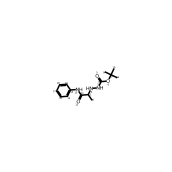 CC(NNC(=O)OC(C)(C)C)C(=O)Nc1ccccc1